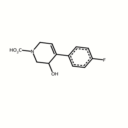 O=C(O)N1CC=C(c2ccc(F)cc2)C(O)C1